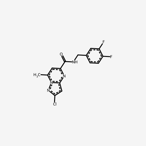 Cc1cc(C(=O)NCc2ccc(F)c(F)c2)nc2cc(Cl)nn12